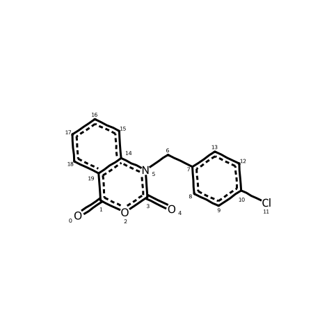 O=c1oc(=O)n(Cc2ccc(Cl)cc2)c2ccccc12